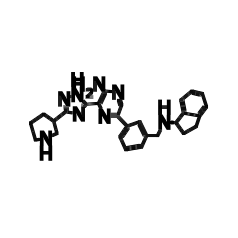 Nc1ncc(-c2cccc(CN[C@@H]3CCc4ccccc43)c2)nc1-c1nc(C2CCCNC2)n[nH]1